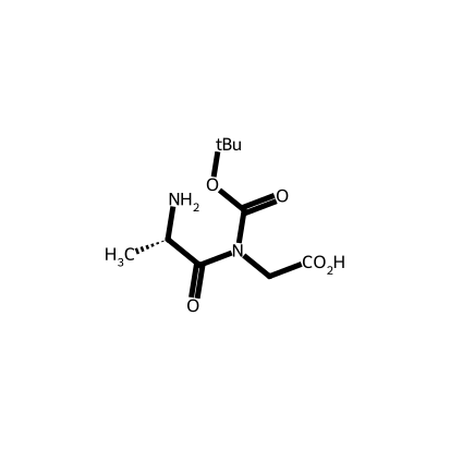 C[C@H](N)C(=O)N(CC(=O)O)C(=O)OC(C)(C)C